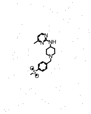 Cc1ccnc(NC2CCN(Cc3ccc(S(C)(=O)=O)cc3)CC2)n1